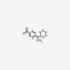 CN(c1ccc([N+](=O)[O-])cc1)C1CCCCC1